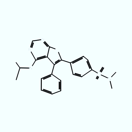 CC(C)Nc1ncnc2oc(-c3ccc(S(=O)(=O)N(C)C)cc3)c(-c3ccccc3)c12